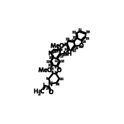 C=CC(=O)N1CCC(Oc2cc3c(Nc4cc5oc6ccccc6c5cc4OC)ncnc3cc2OC)CC1